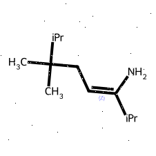 CC(C)/C(N)=C/CC(C)(C)C(C)C